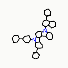 C1=C(C2CCC3C4C5C6CCCCC6N(C6CCC(C7=CCCCC7)C7CCCCC76)C5CCC4N(C4CCC(C5CCCCC5)CC4)C3C2)CCCC1